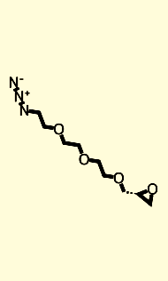 [N-]=[N+]=NCCOCCOCCOC[C@H]1CO1